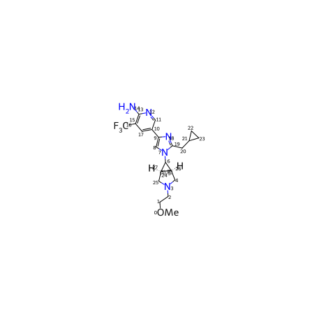 COCCN1C[C@@H]2C(n3cc(-c4cnc(N)c(C(F)(F)F)c4)nc3CC3CC3)[C@@H]2C1